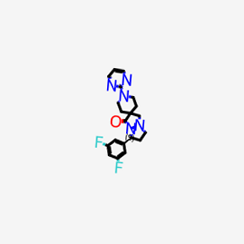 O=C1N2[C@H](c3cc(F)cc(F)c3)CCN2CC12CCN(c1ncccn1)CC2